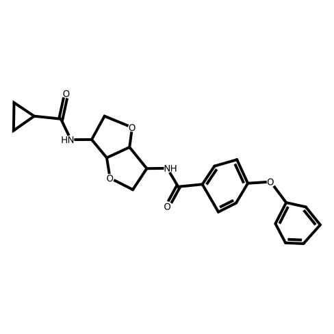 O=C(NC1COC2C(NC(=O)C3CC3)COC12)c1ccc(Oc2ccccc2)cc1